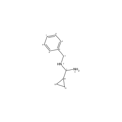 NC(NCc1ccccc1)C1CC1